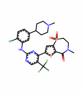 CN1CCC(c2ccc(Cl)c(Nc3ncc(C(F)(F)F)c(-c4cc5c(s4)C(=O)N(C)CCS5(=O)=O)n3)c2)CC1